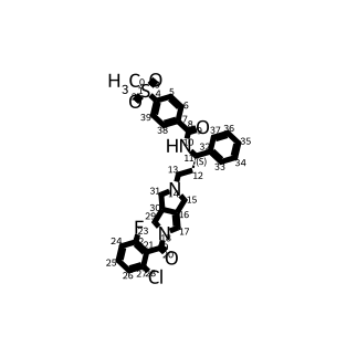 CS(=O)(=O)c1ccc(C(=O)N[C@@H](CCN2CC3=CN(C(=O)c4c(F)cccc4Cl)CC3C2)c2ccccc2)cc1